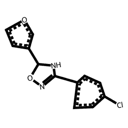 Clc1ccc(C2=NOC(c3ccoc3)N2)cc1